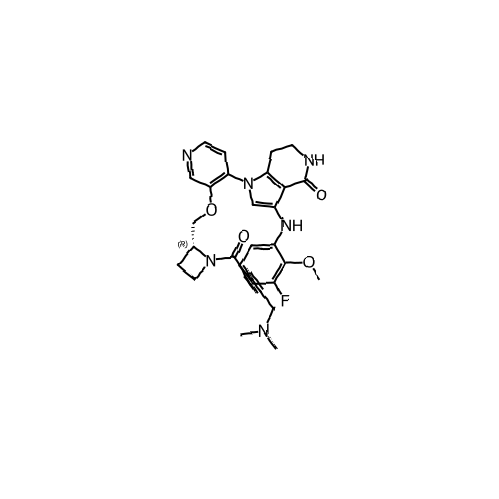 COc1c(F)cccc1Nc1cn(-c2ccncc2OC[C@H]2CCN2C(=O)C#CCN(C)C)c2c1C(=O)NCC2